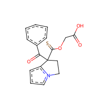 O=C(O)COC(=S)C1(C(=O)c2ccccc2)CCn2cccc21